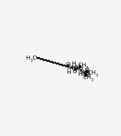 CCC=CCC=CCC=CCC=CCC=CCC=CCCC(=O)NCCNC(=O)[C@H](CSSC[C@H](NC(C)=O)C(=O)OC)NC(C)=O